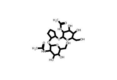 CC(=O)NC1C(OC2CCCC2OC2OC(CO)C(O)C(O)C2NC(C)=O)OC(CO)C(O)C1O